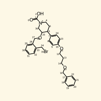 O=C(O)N1CCC(c2ccc(OCCCOCc3ccccc3)cc2)C(OCc2ccccc2CBr)C1